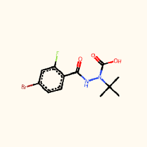 CC(C)(C)N(NC(=O)c1ccc(Br)cc1F)C(=O)O